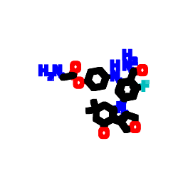 CC1(C)CC(=O)c2c3c(n(-c4cc(F)c(C(N)=O)c(N[C@H]5CC[C@H](OC(=O)CN)CC5)c4)c2C1)COC3